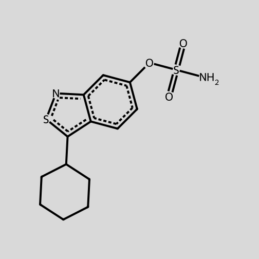 NS(=O)(=O)Oc1ccc2c(C3CCCCC3)snc2c1